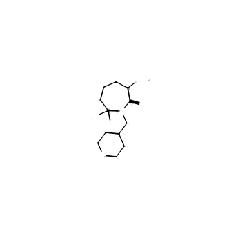 CNC1CCCC(C)(C)N(CC2CCSCC2)C1=O